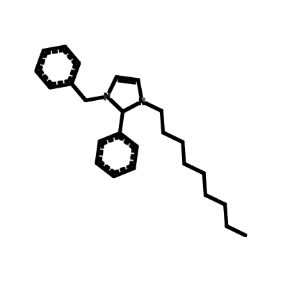 CCCCCCCCCN1C=CN(Cc2ccccc2)C1c1ccccc1